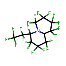 FC(F)(F)C(F)(F)C1(F)N2C(C(F)(F)C(F)(F)C(F)(F)C2(F)F)C(F)(F)C(F)(F)C1(F)F